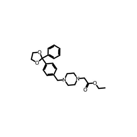 CCOC(=O)CN1CCN(Cc2ccc(C3(c4ccccc4)OCCO3)cc2)CC1